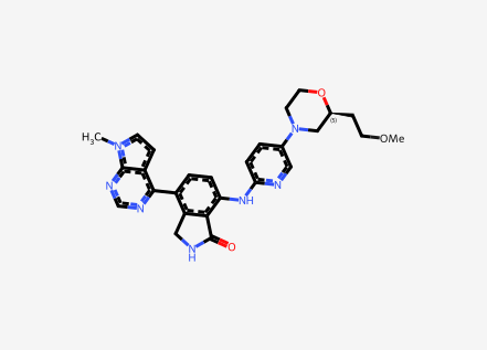 COCC[C@H]1CN(c2ccc(Nc3ccc(-c4ncnc5c4ccn5C)c4c3C(=O)NC4)nc2)CCO1